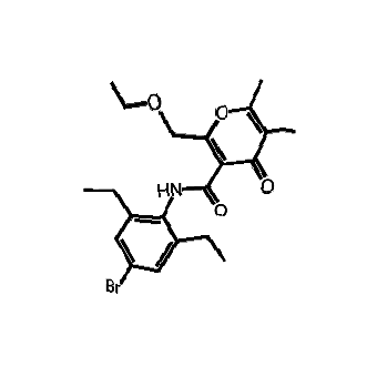 CCOCc1oc(C)c(C)c(=O)c1C(=O)Nc1c(CC)cc(Br)cc1CC